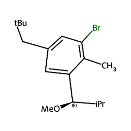 CO[C@@H](c1cc(CC(C)(C)C)cc(Br)c1C)C(C)C